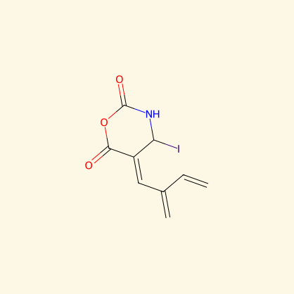 C=CC(=C)/C=C1/C(=O)OC(=O)NC1I